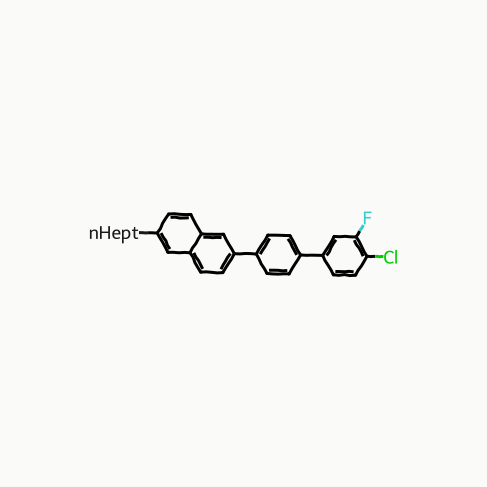 CCCCCCCc1ccc2cc(-c3ccc(-c4ccc(Cl)c(F)c4)cc3)ccc2c1